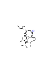 CCOC(=O)/C=C\C(=O)O[Si](C(C)C)(C(C)C)C(C)C